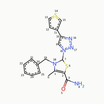 CC1=C(C(N)=O)SC(n2cc(-c3ccsc3)nn2)N1Cc1ccccc1